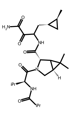 CC(C)C(=O)N[C@H](C(=O)N1C[C@H]2C([C@H]1C(=O)NC(C[C@H]1C[C@@H]1C)C(=O)C(N)=O)C2(C)C)C(C)C